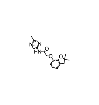 Cc1cnc(NC(=O)COc2cccc3c2OC(C)(C)C3)cn1